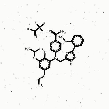 CCOc1cc(OC(C)C)c(F)c(N(Cc2nc(-c3ccccc3SC)n[nH]2)c2ccc(C(=N)N)cc2)c1.O=C(O)C(F)(F)F